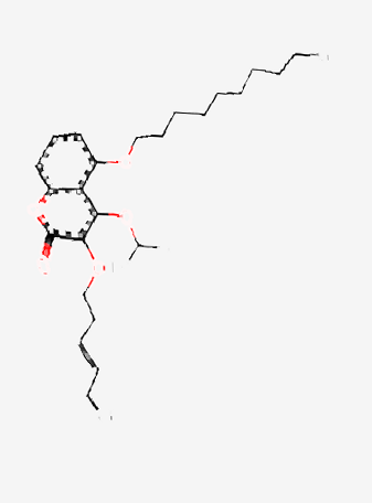 CCC=CCCOc1c(OC(C)C)c2c(OCCCCCCCCCC)cccc2oc1=O